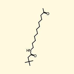 CC(=O)CCCCCCCCCCNC(=O)CC(C)(C)C